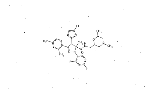 CC1CN(C)CC(CNC(=O)C2(C)C(c3ccc(Cl)o3)C(c3ccc(P)cc3P)=NN2c2ccc(F)cc2F)O1